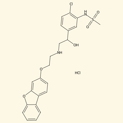 CS(=O)(=O)Nc1cc(C(O)CNCCOc2ccc3c(c2)oc2ccccc23)ccc1Cl.Cl